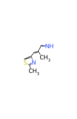 C/C(C=N)=C\c1csc(C)n1